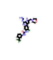 N=C/N=C(/N)c1[nH]c(CN2CCOCC2)cc1-c1ccc(NC(=O)Nc2cccc(C(F)(F)F)c2)c(F)c1